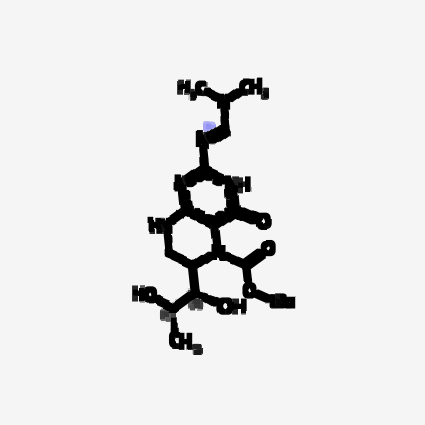 C[C@H](O)[C@H](O)C1CNc2nc(/N=C/N(C)C)[nH]c(=O)c2N1C(=O)OC(C)(C)C